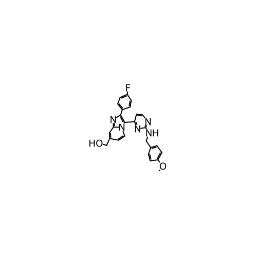 COc1ccc(CNc2nccc(-c3c(-c4ccc(F)cc4)nc4cc(CO)ccn34)n2)cc1